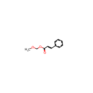 COCOC(=O)C=Cc1ccccc1